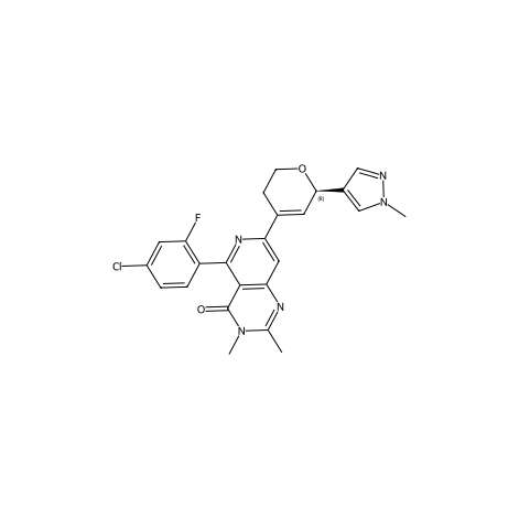 Cc1nc2cc(C3=C[C@H](c4cnn(C)c4)OCC3)nc(-c3ccc(Cl)cc3F)c2c(=O)n1C